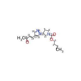 CCCCOC(=O)N1CCC(n2cc(C=CC(C)=O)cn2)C1